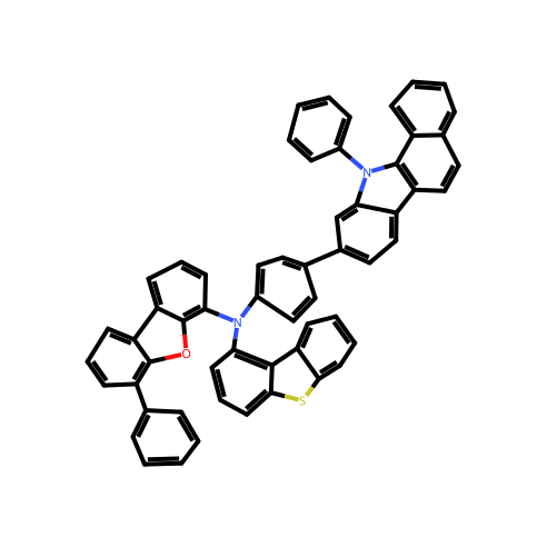 c1ccc(-c2cccc3c2oc2c(N(c4ccc(-c5ccc6c7ccc8ccccc8c7n(-c7ccccc7)c6c5)cc4)c4cccc5sc6ccccc6c45)cccc23)cc1